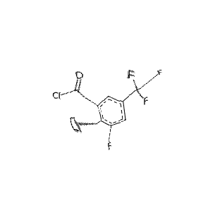 O=C(Cl)c1cc(C(F)(F)F)cc(F)c1Cl